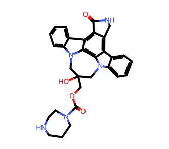 O=C1NCc2c1c1c3ccccc3n3c1c1c2c2ccccc2n1CC(O)(COC(=O)N1CCCNCC1)C3